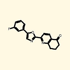 O=C1CCCc2nc(-c3ncc(-c4cccc(F)c4)o3)ccc21